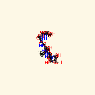 CC(C)(C)[Si](F)(c1ccc(C(=O)N[C@@H](CNC(=O)CC[C@H](C(=O)O)N2CCN(CC(=O)O)CCN(CC(=O)O)CCN(CC(=O)O)CC2)C(=O)N[C@@H](CCCCNC(=O)CCC(=O)NCCC[C@@H](NC(=O)CC[C@H](NC(=O)N[C@@H](CCC(=O)O)C(=O)O)C(=O)O)C(=O)O)C(=O)O)cc1)C(C)(C)C